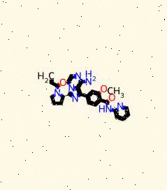 C=CC(=O)N1CCC[C@H]1c1nc(-c2ccc(C(=O)Nc3ccccn3)c(OC)c2)c2c(N)nccn12